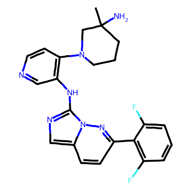 CC1(N)CCCN(c2ccncc2Nc2ncc3ccc(-c4c(F)cccc4F)nn23)C1